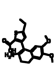 CCc1cc(C2=C(N)CCc3cc(OC)c(OC)cc32)c(C(=O)O)s1